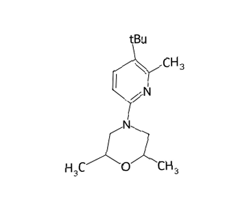 Cc1nc(N2CC(C)OC(C)C2)ccc1C(C)(C)C